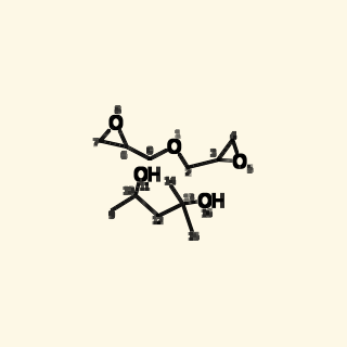 C(OCC1CO1)C1CO1.CC(O)CC(C)(C)O